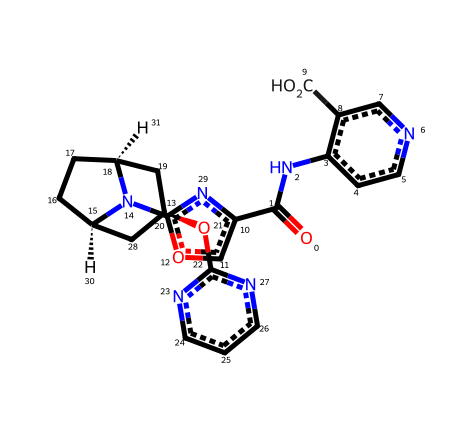 O=C(Nc1ccncc1C(=O)O)c1coc(N2[C@@H]3CC[C@H]2C[C@@H](Oc2ncccn2)C3)n1